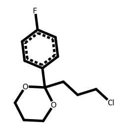 Fc1ccc(C2(CCCCl)OCCCO2)cc1